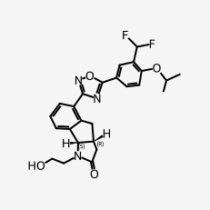 CC(C)Oc1ccc(-c2nc(-c3cccc4c3C[C@@H]3CC(=O)N(CCO)[C@H]43)no2)cc1C(F)F